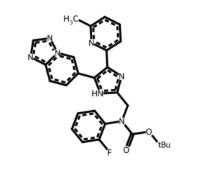 Cc1cccc(-c2nc(CN(C(=O)OC(C)(C)C)c3ccccc3F)[nH]c2-c2ccc3ncnn3c2)n1